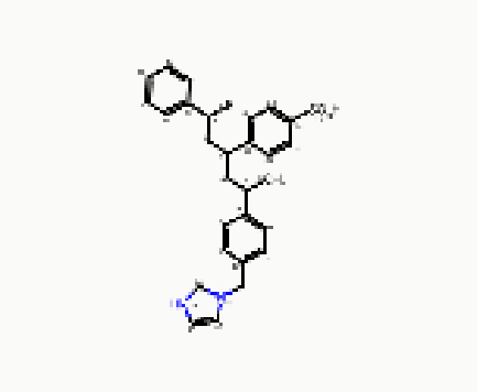 CCC(CC(CC(C)c1ccc(CN2C=CNC2)cc1)c1ccc(S(=O)(=O)O)cc1)c1ccccc1